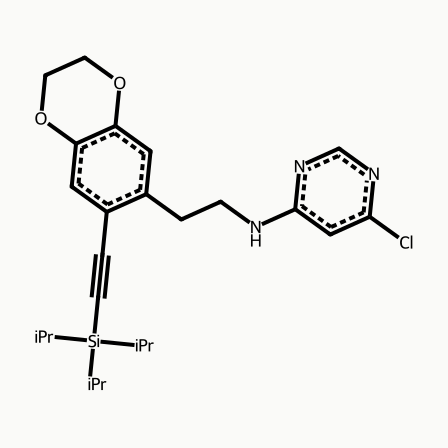 CC(C)[Si](C#Cc1cc2c(cc1CCNc1cc(Cl)ncn1)OCCO2)(C(C)C)C(C)C